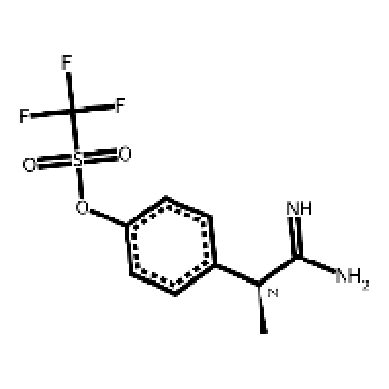 C[C@H](C(=N)N)c1ccc(OS(=O)(=O)C(F)(F)F)cc1